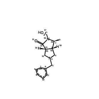 C[C@H]1[C@@H]2CN(Cc3ccccc3)C[C@@H]2C(=O)N1C(=O)O